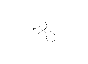 CO[Si](CBr)(OC)C1CCCCC1